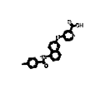 Cc1ccc(C(=O)Nc2cccc3cc(Oc4ccnc(C(=O)O)c4)ccc23)cc1